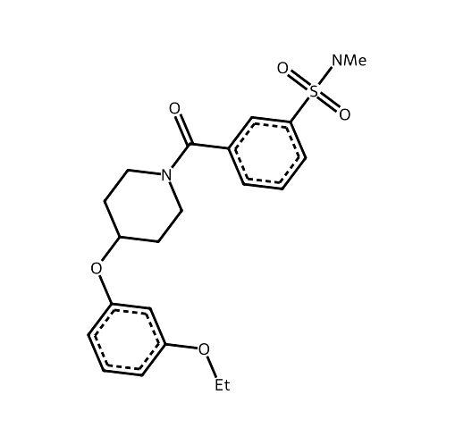 CCOc1cccc(OC2CCN(C(=O)c3cccc(S(=O)(=O)NC)c3)CC2)c1